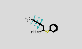 CCCCCCC(CC(F)(F)C(F)(F)C(F)(F)C(F)(F)F)Sc1ccccc1